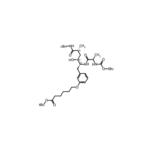 CCCCNC(=O)[C@H](C)C[C@H](O)[C@H](Cc1cccc(OCCCCCC(=O)OC(C)(C)C)c1)NC(=O)C(C)NC(=O)OC(C)(C)C